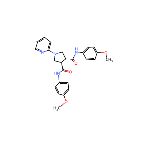 COc1ccc(NC(=O)[C@H]2CN(c3cc[c]cn3)C[C@@H]2C(=O)Nc2ccc(OC)cc2)cc1